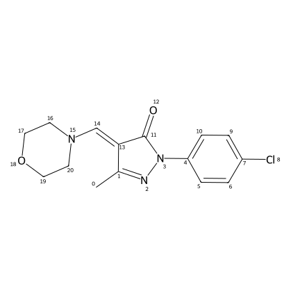 CC1=NN(c2ccc(Cl)cc2)C(=O)/C1=C/N1CCOCC1